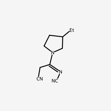 CCC1CCN(C(CC#N)=NC#N)C1